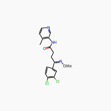 CON=C(CCC(=O)Nc1cnccc1C)c1ccc(Cl)c(Cl)c1